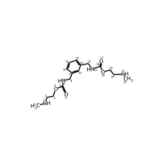 CNCCOC(=O)NCc1cccc(CNC(=O)OCCNC)c1